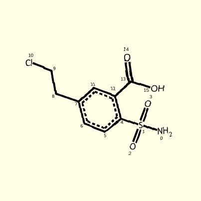 NS(=O)(=O)c1ccc(CCCl)cc1C(=O)O